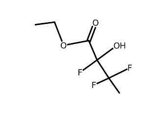 CCOC(=O)C(O)(F)C(C)(F)F